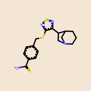 NC(=S)c1ccc(CSc2nsnc2C2CN3CCCC2C3)cc1